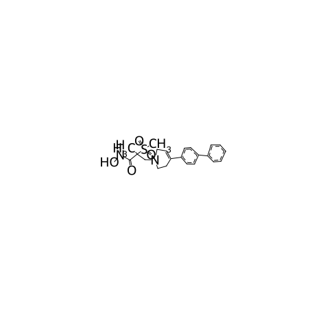 CC(CN1CC=C(c2ccc(-c3ccccc3)cc2)CC1)(C(=O)NO)S(C)(=O)=O